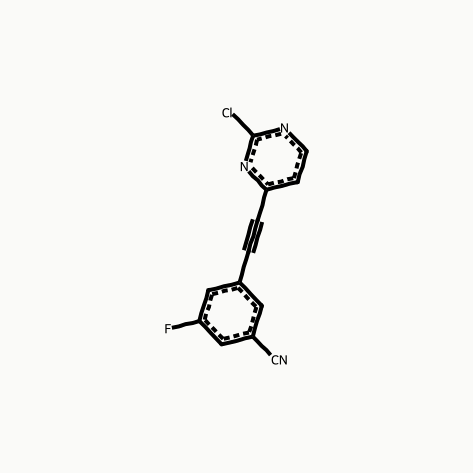 N#Cc1cc(F)cc(C#Cc2ccnc(Cl)n2)c1